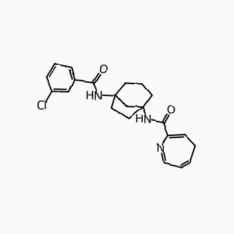 O=C(NC12CCCC(NC(=O)c3cccc(Cl)c3)(CC1)C2)C1=CCC=CC=N1